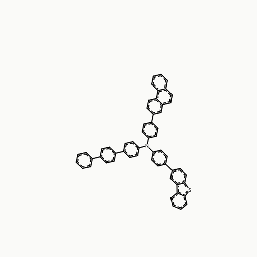 c1ccc(-c2ccc(-c3ccc(N(c4ccc(-c5ccc6c(ccc7ccccc76)c5)cc4)c4ccc(-c5ccc6sc7ccccc7c6c5)cc4)cc3)cc2)cc1